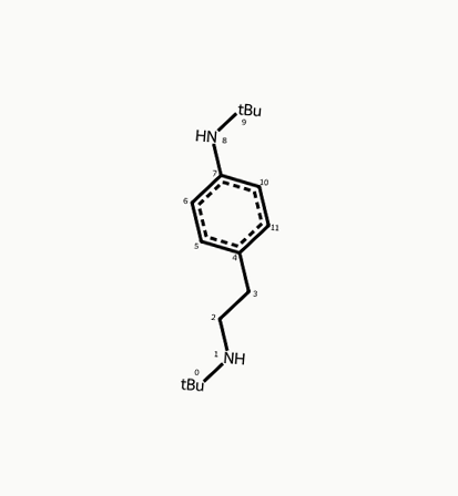 CC(C)(C)NCCc1ccc(NC(C)(C)C)cc1